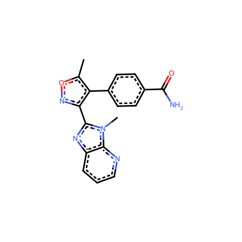 Cc1onc(-c2nc3cccnc3n2C)c1-c1ccc(C(N)=O)cc1